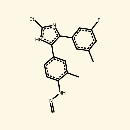 C=NNc1ccc(-c2[nH]c(CC)nc2-c2cc(C)cc(F)c2)cc1C